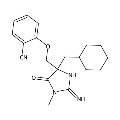 CN1C(=N)NC(COc2ccccc2C#N)(CC2CCCCC2)C1=O